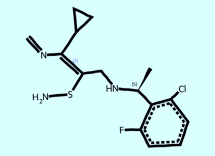 C=N/C(=C(/CN[C@@H](C)c1c(F)cccc1Cl)SN)C1CC1